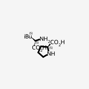 CC[C@H](C)[C@H](N)C(=O)O.O=C(O)[C@@H]1CCCN1